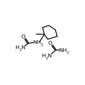 CC1(C)CCCCC1.NC(N)=O.NC(N)=O